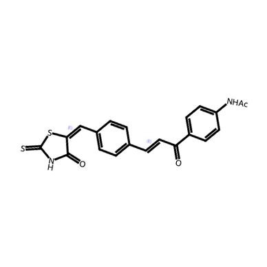 CC(=O)Nc1ccc(C(=O)/C=C/c2ccc(/C=C3/SC(=S)NC3=O)cc2)cc1